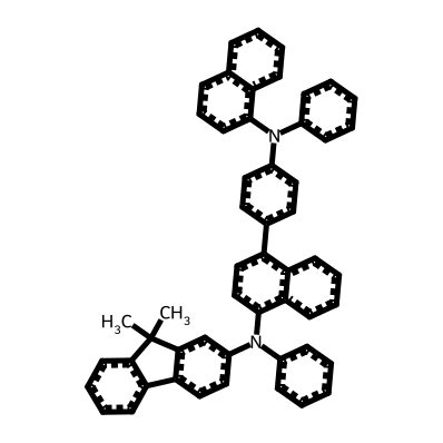 CC1(C)c2ccccc2-c2ccc(N(c3ccccc3)c3ccc(-c4ccc(N(c5ccccc5)c5cccc6ccccc56)cc4)c4ccccc34)cc21